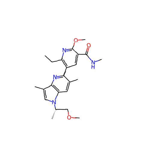 CCc1nc(OC)c(C(=O)NC)cc1-c1nc2c(C)cn([C@@H](C)COC)c2cc1C